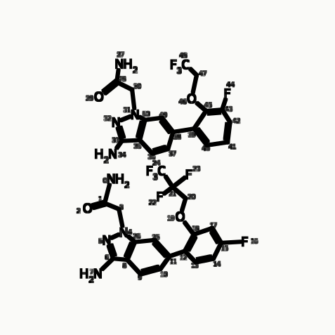 NC(=O)Cn1nc(N)c2ccc(-c3ccc(F)cc3OCC(F)(F)C(F)(F)F)cc21.NC(=O)Cn1nc(N)c2ccc(-c3cccc(F)c3OCC(F)(F)F)cc21